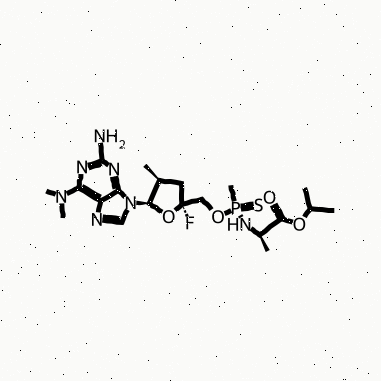 CC(C)OC(=O)[C@@H](C)NP(C)(=S)OC[C@]1(F)C[C@H](C)[C@H](n2cnc3c(N(C)C)nc(N)nc32)O1